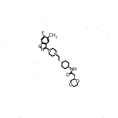 Cc1cc2c(N3CCN(CC[C@H]4CC[C@H](NC(=O)C[C@@H]5COCCO5)CC4)CC3)noc2cc1F